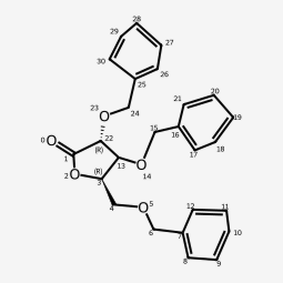 O=C1O[C@H](COCc2ccccc2)C(OCc2ccccc2)[C@H]1OCc1ccccc1